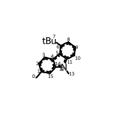 Cc1ccc2c3c(C(C)(C)C)cccc3n(C)c2c1